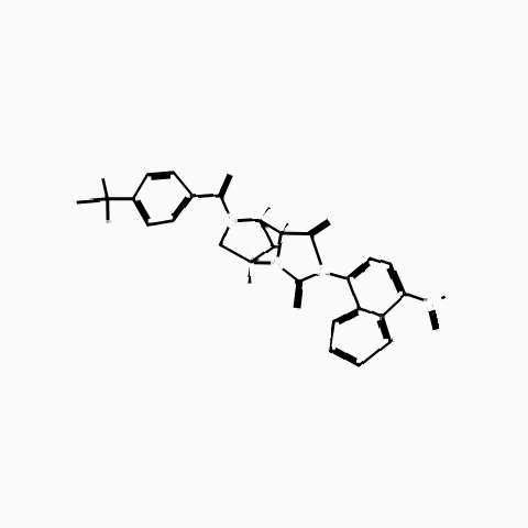 O=C1[C@H]2[C@@H]3C[C@@H](CN3C(=O)c3ccc(C(F)(F)F)cc3)N2C(=O)N1c1ccc([N+](=O)[O-])c2ccccc12